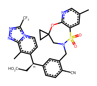 Cc1cnc2c(c1)S(=O)(=O)N(Cc1cc([C@@H](CC(=O)O)c3ccn4c(C(F)(F)F)nnc4c3C)ccc1C#N)CC1(CC1)O2